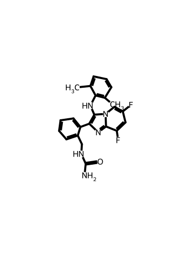 Cc1cccc(C)c1Nc1c(-c2ccccc2CNC(N)=O)nc2c(F)cc(F)cn12